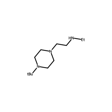 CCNCCN1CCN(C(C)(C)C)CC1